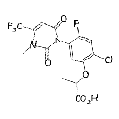 C[C@H](Oc1cc(-n2c(=O)cc(C(F)(F)F)n(C)c2=O)c(F)cc1Cl)C(=O)O